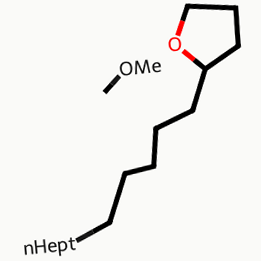 CCCCCCCCCCCCC1CCCO1.COC